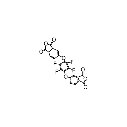 O=C1OC(=O)c2cc(Oc3c(F)c(F)c(OC4=CC5C(=O)OC(=O)C5C=C4)c(F)c3F)ccc21